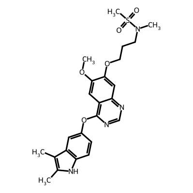 COc1cc2c(Oc3ccc4[nH]c(C)c(C)c4c3)ncnc2cc1OCCCN(C)S(C)(=O)=O